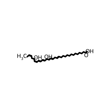 CC/C=C\C[C@H](O)\C=C/C=C/C=C/[C@H](O)CC=CCC=CCCCCCCCCCCCCC(=O)O